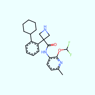 Cc1ccc(NC(=O)C2(c3ccccc3C3CCCCC3)CNC2)c(OC(F)F)n1